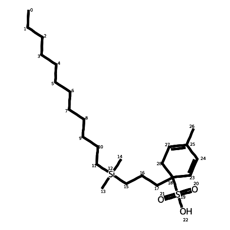 CCCCCCCCCCCC[Si](C)(C)CCCC1(S(=O)(=O)O)C=CC(C)=CC1